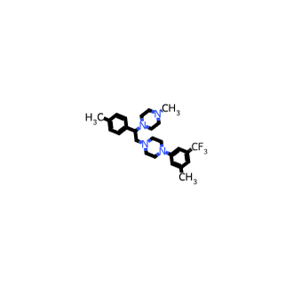 Cc1ccc(C(CN2CCN(c3cc(C)cc(C(F)(F)F)c3)CC2)N2CCN(C)CC2)cc1